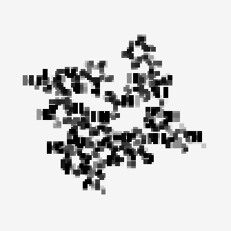 CC[C@H](C)[C@H](NC(=O)CNC(=O)[C@H](Cc1ccccc1)NC(=O)CNC(=O)CNC(=O)[C@H](CO)NC(=O)[C@H](CO)NC(=O)[C@@H](NC(=O)[C@@H]1CCCN1)[C@@H](C)CC)C(=O)N[C@@H](CO)C(=O)NCC(=O)N[C@@H](CC(C)C)C(=O)NCC(=O)O